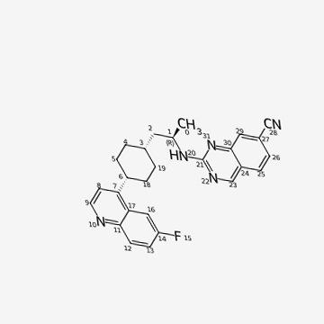 C[C@H](C[C@H]1CC[C@@H](c2ccnc3ccc(F)cc32)CC1)Nc1ncc2ccc(C#N)cc2n1